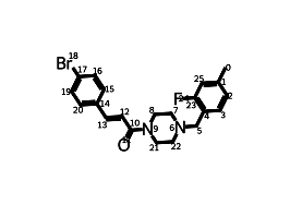 Cc1ccc(CN2CCN(C(=O)/C=C/c3ccc(Br)cc3)CC2)c(F)c1